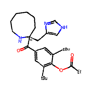 CCC(=O)Oc1c(C(C)(C)C)cc(C(=O)[C@@]2(Cc3c[nH]cn3)CCCCCCN2)cc1C(C)(C)C